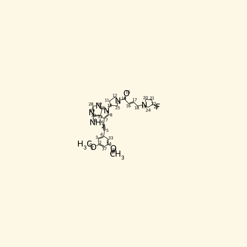 COc1cc(C#Cc2cn([C@H]3CCN(C(=O)/C=C/CN4CC[C@@H](F)C4)C3)c3ncnc(N)c23)cc(OC)c1